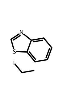 CCI.c1ccc2scnc2c1